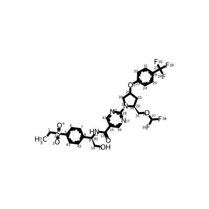 CCS(=O)(=O)c1ccc([C@H](CO)NC(=O)c2cnc(N3CC(Oc4ccc(C(F)(F)F)cc4)C[C@H]3COC(F)F)nc2)cc1